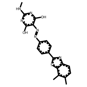 CNc1nc(O)c(/N=N/c2ccc(-c3nc4ccc(C)c(C)c4s3)cc2)c(O)n1